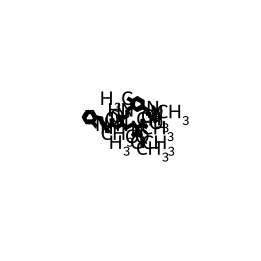 Cc1ccc(-c2nn(C)c(=O)o2)cc1NCC(=O)N(CCN(C(=O)OC(C)(C)C)C(C)C)CC(=O)N(C)N1Cc2ccccc2C1